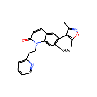 COc1cc2c(ccc(=O)n2CCc2ccccn2)cc1-c1c(C)noc1C